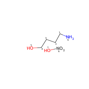 NCCCCO.O=[N+]([O-])O